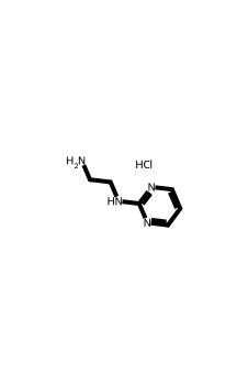 Cl.NCCNc1ncccn1